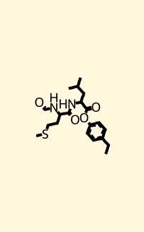 CCc1ccc(OC(=O)C(CC(C)C)NC(=O)C(CCSC)NC=O)cc1